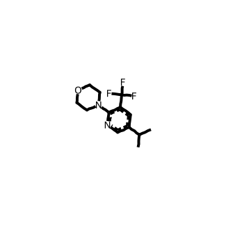 CC(C)c1cnc(N2CCOCC2)c(C(F)(F)F)c1